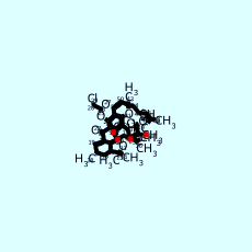 COC(=O)/C(C)=C\CC1(C=O)OC(C)(C)C2CC(C)C=C3C(=O)c4c(OC(=O)CCl)c5c(c(CC=C(C)C)c4OC321)OC(C)(CCC=C(C)C)C=C5